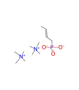 CC=CCP(=O)([O-])[O-].C[N+](C)(C)C.C[N+](C)(C)C